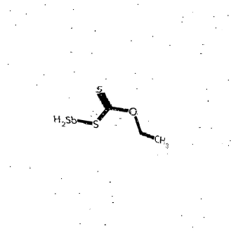 CCOC(=S)[S][SbH2]